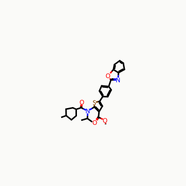 COC(=O)c1cc(-c2ccc(-c3nc4ccccc4o3)cc2)sc1N(C(=O)C1CCC(C)CC1)C(C)C